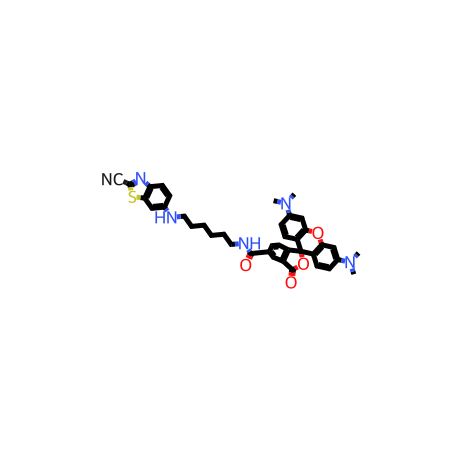 CN(C)c1ccc2c(c1)Oc1cc(N(C)C)ccc1C21OC(=O)c2cc(C(=O)NCCCCCCNc3ccc4nc(C#N)sc4c3)ccc21